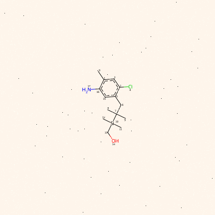 Cc1cc(Cl)c(CC(C)(C)[Si](C)(C)CO)cc1N